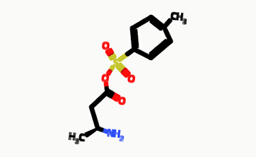 Cc1ccc(S(=O)(=O)OC(=O)C[C@H](C)N)cc1